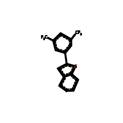 FC(F)(F)c1cc(-c2cc3c[c]ccc3s2)cc(C(F)(F)F)c1